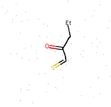 CCCC(=O)[C]=S